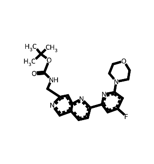 CC(C)(C)OC(=O)NCc1cc2nc(-c3cc(F)cc(N4CCOCC4)n3)ccc2cn1